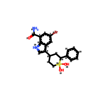 NC(=O)c1cc(Br)cc2c(C3CCS(O)(O)C(c4ccccc4)C3)c[nH]c12